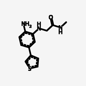 CNC(=O)CNc1cc(-c2ccsc2)ccc1N